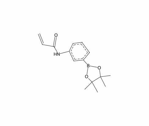 C=CC(=O)Nc1cccc(B2OC(C)(C)C(C)(C)O2)c1